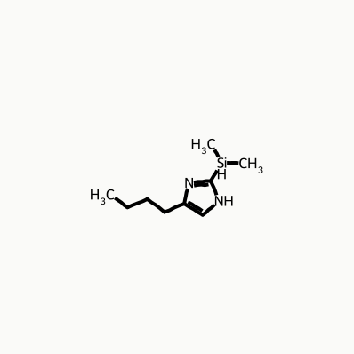 CCCCc1c[nH]c([SiH](C)C)n1